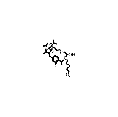 COCCOCCOC(O)COCCC[Si](OC(C)C)(OC(C)C)OC(Cc1ccc(C(C)C)c(Cl)c1)C(C)C